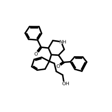 O=C(c1ccccc1)C1CNCC(C(=O)c2ccccc2)C1C1(CCCO)C=CC=CC1